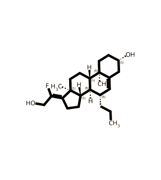 CCC[C@H]1C=C2C[C@@H](O)CC[C@]2(C)[C@H]2CC[C@]3(C)C(=C(F)CO)CC[C@H]3[C@H]12